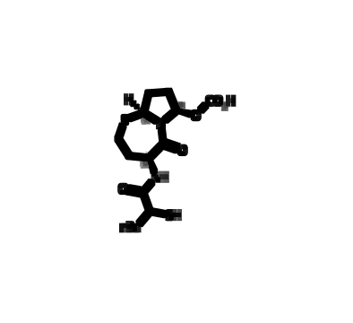 CCCCC(S)C(=O)N[C@H]1CCS[C@H]2CC[C@@H](OC(=O)O)N2C1=O